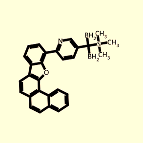 BC(B)(c1ccc(-c2cccc3c2oc2c3ccc3ccc4ccccc4c32)nc1)S(C)(C)C